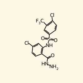 NNC(=O)c1ccc(Cl)cc1NS(=O)(=O)c1ccc(Cl)c(C(F)(F)F)c1